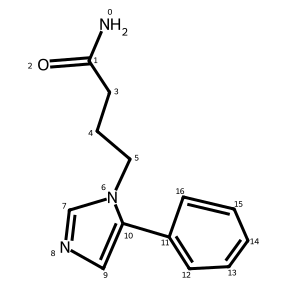 NC(=O)CCCn1cncc1-c1ccccc1